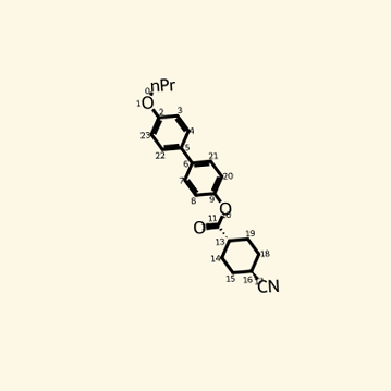 CCCOc1ccc(-c2ccc(OC(=O)[C@H]3CC[C@H](C#N)CC3)cc2)cc1